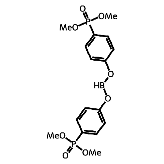 COP(=O)(OC)c1ccc(OBOc2ccc(P(=O)(OC)OC)cc2)cc1